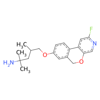 CC(COc1ccc2c(c1)COc1cnc(F)cc1-2)CC(C)(C)N